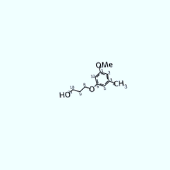 COc1cc(C)cc(OCCCO)c1